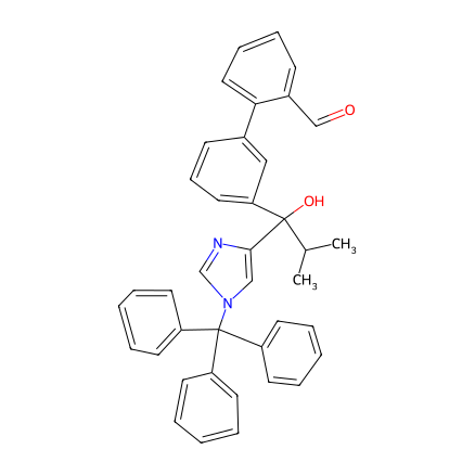 CC(C)C(O)(c1cccc(-c2ccccc2C=O)c1)c1cn(C(c2ccccc2)(c2ccccc2)c2ccccc2)cn1